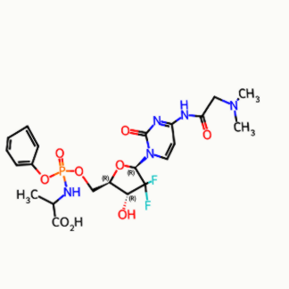 CC(NP(=O)(OC[C@H]1O[C@@H](n2ccc(NC(=O)CN(C)C)nc2=O)C(F)(F)[C@@H]1O)Oc1ccccc1)C(=O)O